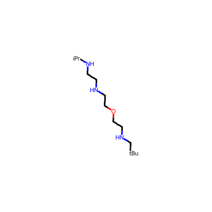 CC(C)NCCNCCOCCNCC(C)(C)C